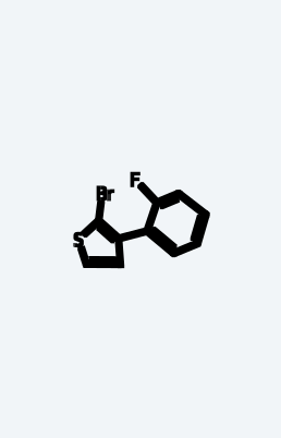 Fc1ccccc1-c1ccsc1Br